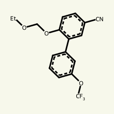 CCOCOc1ccc(C#N)cc1-c1cccc(OC(F)(F)F)c1